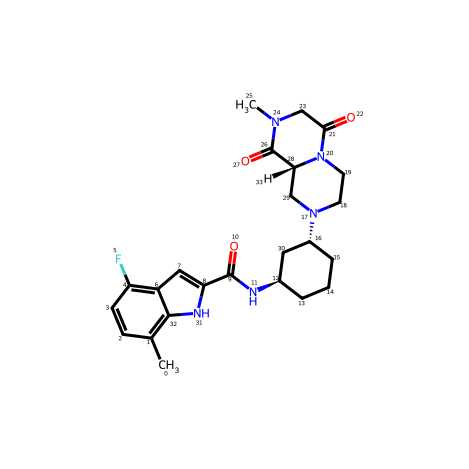 Cc1ccc(F)c2cc(C(=O)N[C@@H]3CCC[C@@H](N4CCN5C(=O)CN(C)C(=O)[C@H]5C4)C3)[nH]c12